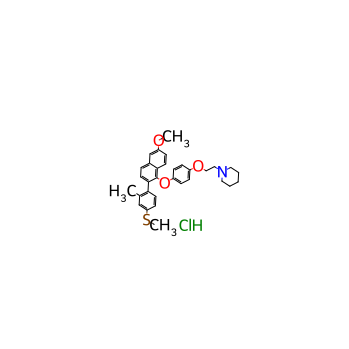 COc1ccc2c(Oc3ccc(OCCN4CCCCC4)cc3)c(-c3ccc(SC)cc3C)ccc2c1.Cl